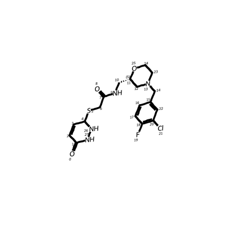 O=C1C=CC(SCC(=O)NC[C@H]2CN(Cc3ccc(F)c(Cl)c3)CCO2)NN1